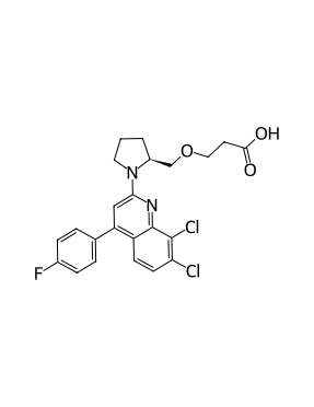 O=C(O)CCOC[C@@H]1CCCN1c1cc(-c2ccc(F)cc2)c2ccc(Cl)c(Cl)c2n1